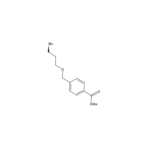 CC[C@H](C)CCCOCc1ccc(C(=O)OC)cc1